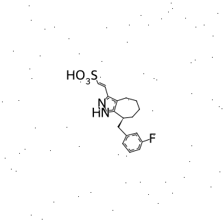 O=S(=O)(O)/C=C/c1n[nH]c2c1CCCC[C@H]2Cc1cccc(F)c1